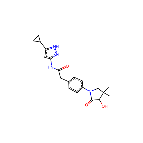 CC1(C)CN(c2ccc(CC(=O)Nc3cc(C4CC4)[nH]n3)cc2)C(=O)C1O